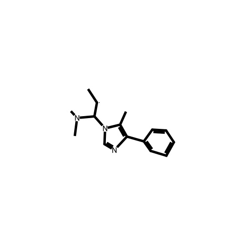 C[CH]C(N(C)C)n1cnc(-c2ccccc2)c1C